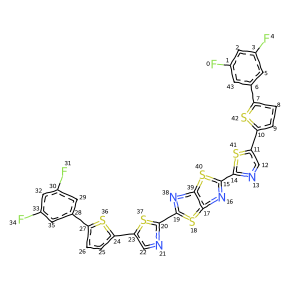 Fc1cc(F)cc(-c2ccc(-c3cnc(-c4nc5sc(-c6ncc(-c7ccc(-c8cc(F)cc(F)c8)s7)s6)nc5s4)s3)s2)c1